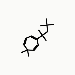 CC(C)(C)CC(C)(C)C1=CC=NC(C)(C)C=C1